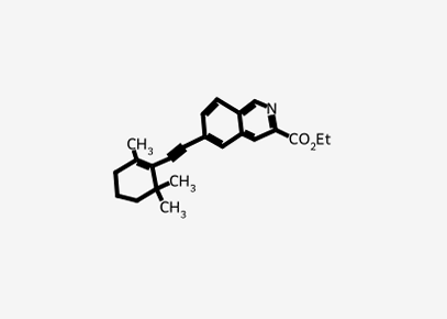 CCOC(=O)c1cc2cc(C#CC3=C(C)CCCC3(C)C)ccc2cn1